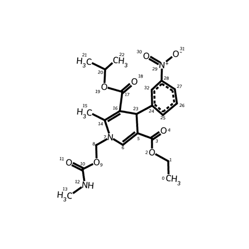 CCOC(=O)C1=CN(COC(=O)NC)C(C)=C(C(=O)OC(C)C)C1c1cccc([N+](=O)[O-])c1